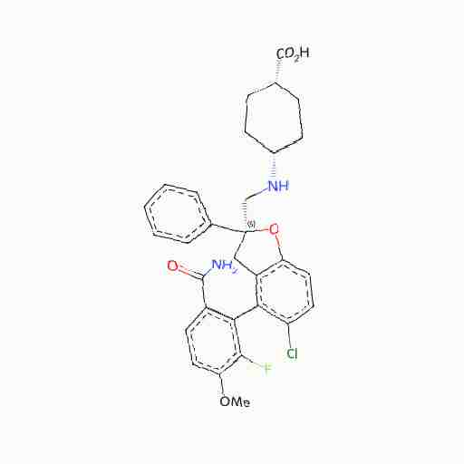 COc1ccc(C(N)=O)c(-c2c(Cl)ccc3c2C[C@@](CN[C@H]2CC[C@@H](C(=O)O)CC2)(c2ccccc2)O3)c1F